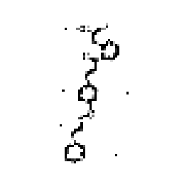 O=C(O)Cc1ccccc1C(=O)C=Cc1ccc(OCC=Cc2ccccc2)cc1